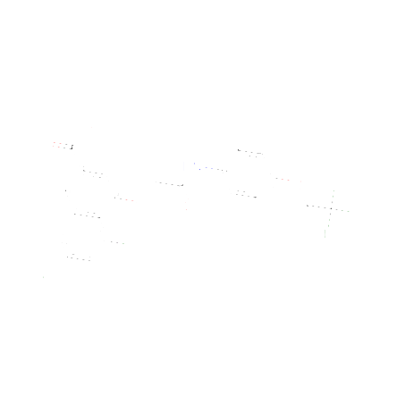 O=C(COc1cc(C(=O)O)cc2cc(Cl)cc(Cl)c12)Nc1ccc(OCC(F)(F)F)cc1